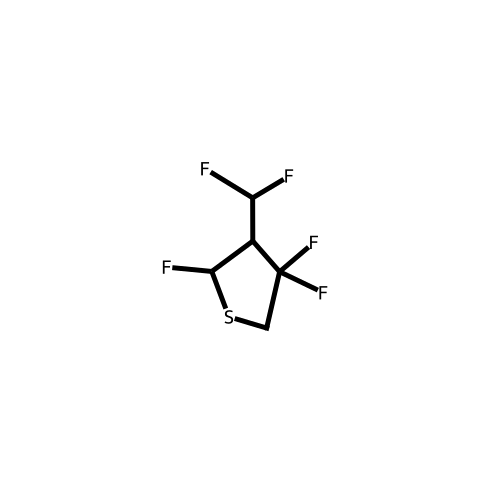 FC(F)C1C(F)SCC1(F)F